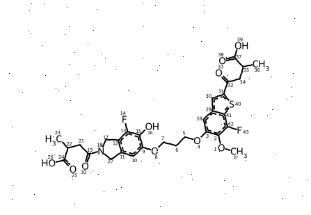 COc1c(OCCCOc2cc3c(c(F)c2O)CN(C(=O)CC(C)C(=O)O)C3)cc2cc(C(=O)CC(C)C(=O)O)sc2c1F